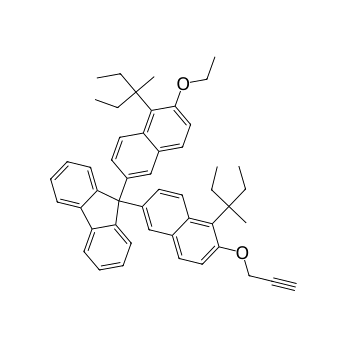 C#CCOc1ccc2cc(C3(c4ccc5c(C(C)(CC)CC)c(OCC)ccc5c4)c4ccccc4-c4ccccc43)ccc2c1C(C)(CC)CC